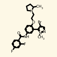 CC1CCCN1CCOc1ccc(NC(=O)c2ccc(F)cc2F)cc1-c1c(Br)cnn1C